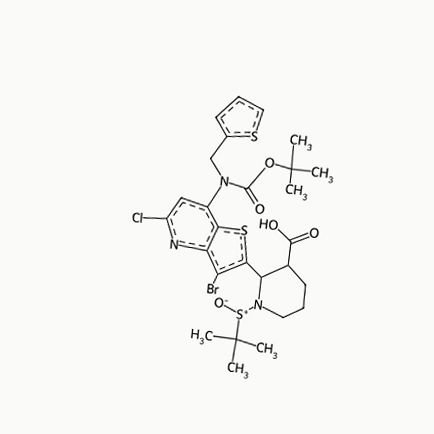 CC(C)(C)OC(=O)N(Cc1cccs1)c1cc(Cl)nc2c(Br)c(C3C(C(=O)O)CCCN3[S+]([O-])C(C)(C)C)sc12